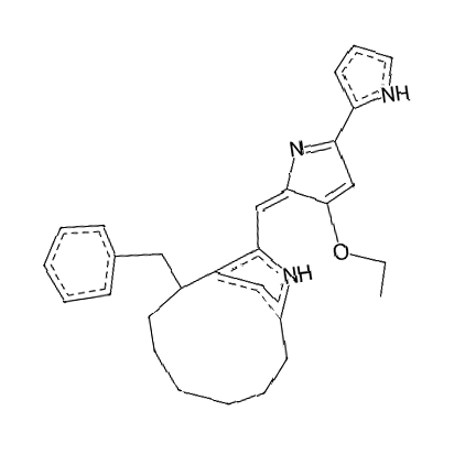 CCOC1=CC(c2ccc[nH]2)=NC1=Cc1[nH]c2cc1C(Cc1ccccc1)CCCCCC2